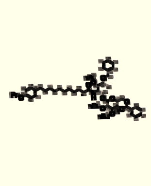 CCCCOC1C(OCCCC)[C@H]2OC(c3ccccc3)OCC2O[C@@H]1OC[C@H](NC(=O)CCCCCCCCCCc1ccc(OC(C)C)cc1)[C@H](OCCCC)[C@@H](C)OCc1ccccc1